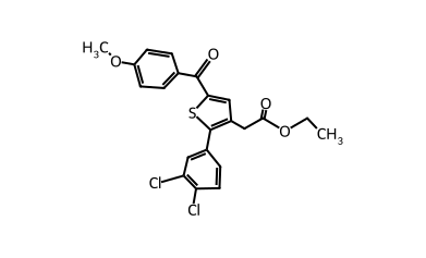 CCOC(=O)Cc1cc(C(=O)c2ccc(OC)cc2)sc1-c1ccc(Cl)c(Cl)c1